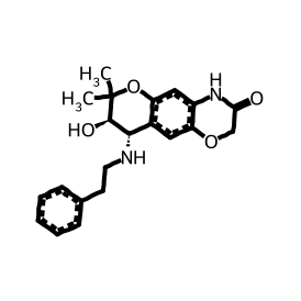 CC1(C)Oc2cc3c(cc2[C@H](NCCc2ccccc2)[C@H]1O)OCC(=O)N3